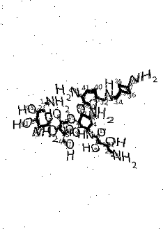 NC[C@@H]1O[C@H](O[C@H]2[C@@H](O)[C@H](O[C@@H]3[C@@H](O)[C@H](NC(=O)[C@@H](O)[C@@H](O)CN)C[C@H](N)[C@H]3O[C@H]3O[C@H](CNCC4CC(N)C4)C=C[C@H]3N)O[C@@H]2CO)[C@H](N)[C@@H](O)[C@@H]1O